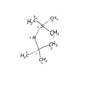 CC(C)(C)[N][Si](C)(C)C